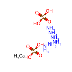 N.N.N.N.N.N.O=S(=O)(O)O.O=S(=O)(O)O.[CaH2]